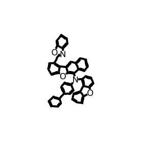 c1ccc(-c2ccc(N(c3c4ccccc4cc4c3oc3cccc(-c5nc6ccccc6o5)c34)c3cccc4oc5ccccc5c34)cc2)cc1